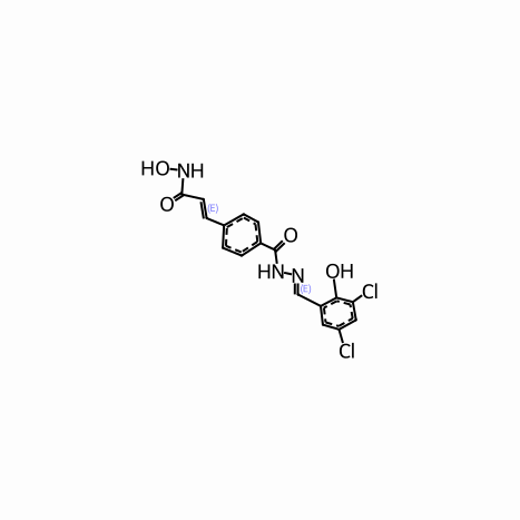 O=C(/C=C/c1ccc(C(=O)N/N=C/c2cc(Cl)cc(Cl)c2O)cc1)NO